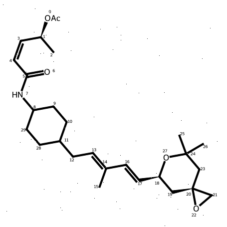 CC(=O)O[C@@H](C)/C=C\C(=O)NC1CCC(C/C=C(C)/C=C/[C@@H]2C[C@]3(CO3)CC(C)(C)O2)CC1